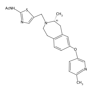 CC(=O)Nc1ncc(CN2CCc3ccc(Oc4ccc(C)nc4)cc3C[C@H]2C)s1